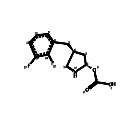 O=C(O)O[C@H]1C[C@H](Cc2cccc(F)c2F)CN1